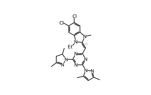 CCN1/C(=C\c2nc(N3N=C(C)CC3C)nc(-n3nc(C)cc3C)n2)N(C)c2cc(Cl)c(Cl)cc21